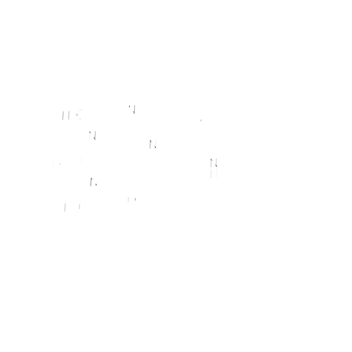 Cn1c(=O)c2c(ncn2CC(=O)Nc2ccccc2C2C=CC=CCC2)n(C)c1=O